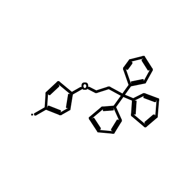 [CH2]c1ccc(OCCC(c2ccccc2)(c2ccccc2)c2ccccc2)cc1